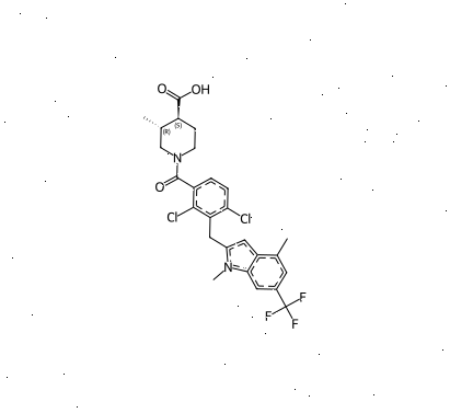 Cc1cc(C(F)(F)F)cc2c1cc(Cc1c(Cl)ccc(C(=O)N3CC[C@H](C(=O)O)[C@@H](C)C3)c1Cl)n2C